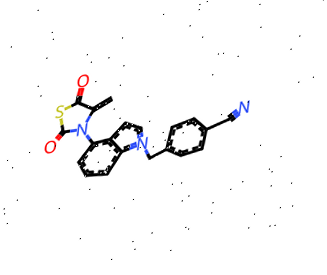 C=C1C(=O)SC(=O)N1c1cccc2c1ccn2Cc1ccc(C#N)cc1